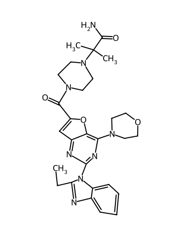 CCc1nc2ccccc2n1-c1nc(N2CCOCC2)c2oc(C(=O)N3CCN(C(C)(C)C(N)=O)CC3)cc2n1